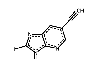 C#Cc1cnc2[nH]c(I)nc2c1